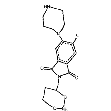 O=C1c2cc(F)c(N3CCNCC3)cc2C(=O)N1C1CCONO1